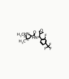 C[C@@H]1C[C@H](C(=O)N[C@@H](c2ccc(C(F)(F)F)cc2F)C2COC2)N[C@@H]1C